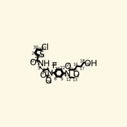 O=C(NC[C@H]1CN(c2ccc(N3CCOC(CCCO)C3=O)cc2F)C(=O)O1)c1ccc(Cl)s1